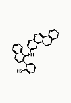 Sc1ccccc1-c1ccc2ccccc2c1Nc1ccc2ccc3c(c2c1)CCC1=C3C=CCC1